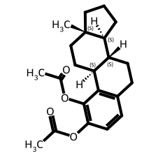 CC(=O)Oc1ccc2c(c1OC(C)=O)[C@H]1CC[C@]3(C)CCC[C@H]3[C@@H]1CC2